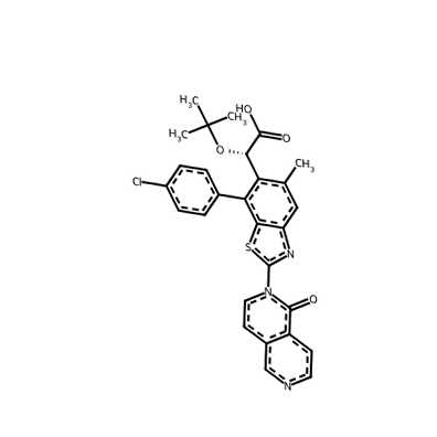 Cc1cc2nc(-n3ccc4cnccc4c3=O)sc2c(-c2ccc(Cl)cc2)c1[C@H](OC(C)(C)C)C(=O)O